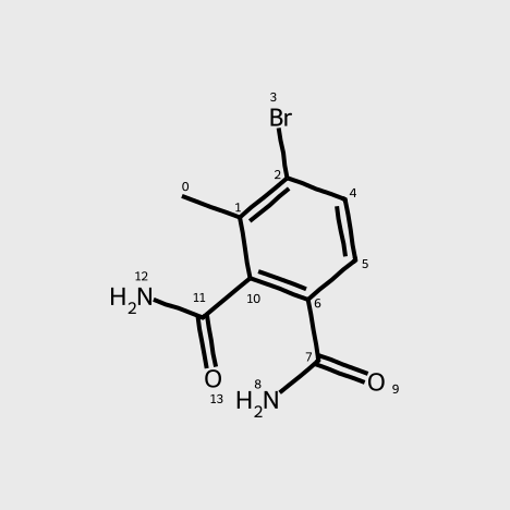 Cc1c(Br)ccc(C(N)=O)c1C(N)=O